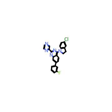 Fc1cccc(-c2ccc3c(N4CCc5cc(Cl)ccc54)nc(-c4cnccn4)nc3c2)c1